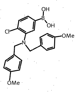 COc1ccc(CN(Cc2ccc(OC)cc2)c2cc(B(O)O)ccc2Cl)cc1